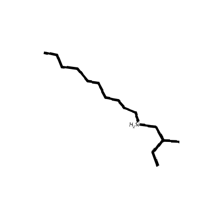 CCCCCCCCCC[SiH2]CC(C)CC